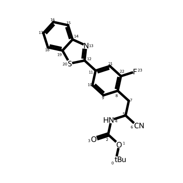 CC(C)(C)OC(=O)NC(C#N)Cc1ccc(-c2nc3ccccc3s2)cc1F